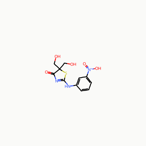 O=C1N=C(Nc2cccc([N+](=O)O)c2)SC1(CO)CO